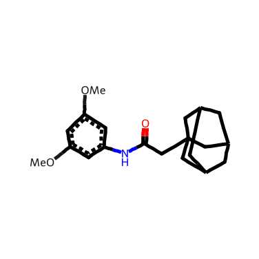 COc1cc(NC(=O)CC23CC4CC(CC(C4)C2)C3)cc(OC)c1